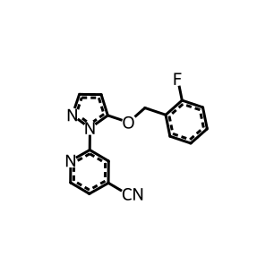 N#Cc1ccnc(-n2nccc2OCc2ccccc2F)c1